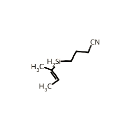 CC=C(C)[SiH2]CCCC#N